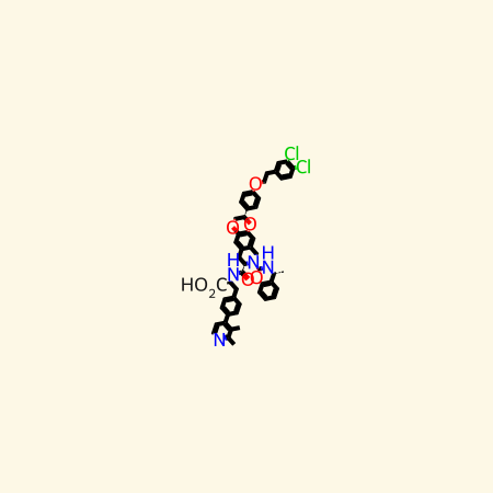 Cc1nccc(-c2ccc(C[C@H](NC(=O)[C@@H]3Cc4cc5c(cc4CN3C(=O)N[C@H](C)c3ccccc3)O[C@@H](c3ccc(OCCc4ccc(Cl)c(Cl)c4)cc3)CO5)C(=O)O)cc2)c1C